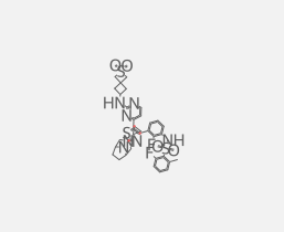 Cc1cccc(F)c1S(=O)(=O)Nc1cccc(-c2nc(N3C4CCC3CN(C3CC3)C4)sc2-c2ccnc(NC3CC4(C3)CS(=O)(=O)C4)n2)c1F